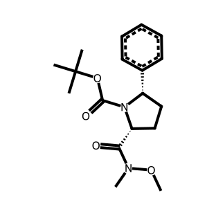 CON(C)C(=O)[C@H]1CC[C@@H](c2ccccc2)N1C(=O)OC(C)(C)C